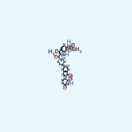 Cc1c(C(=O)N2CCC(c3ccc4c(c3)CN(C3CCC(=O)NC3=O)C4=O)CC2)[nH]c2cc(NS(C)(=O)=O)ccc12